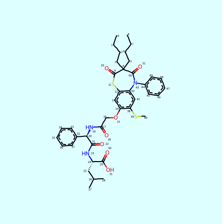 CCCCC1(CCCC)C(=O)Sc2cc(OCC(=O)N[C@@H](C(=O)N[C@@H](CC(C)C)C(=O)O)c3ccccc3)c(SC)cc2N(c2ccccc2)C1=O